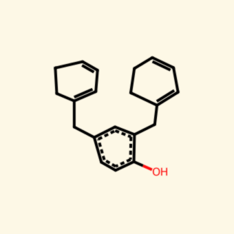 Oc1ccc(CC2=CC=CCC2)cc1CC1=CC=CCC1